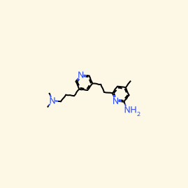 Cc1cc(N)nc(CCc2cncc(CCCN(C)C)c2)c1